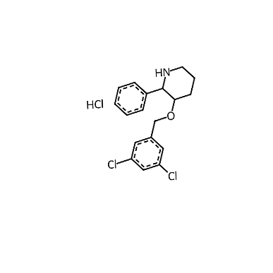 Cl.Clc1cc(Cl)cc(COC2CCCNC2c2ccccc2)c1